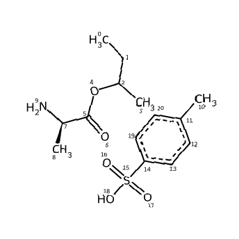 CCC(C)OC(=O)[C@@H](C)N.Cc1ccc(S(=O)(=O)O)cc1